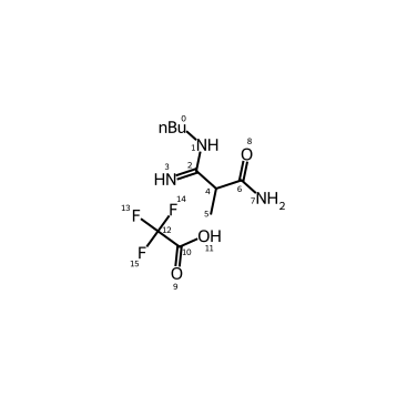 CCCCNC(=N)C(C)C(N)=O.O=C(O)C(F)(F)F